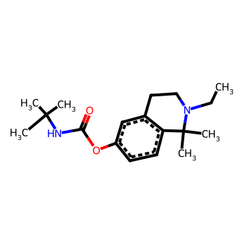 CCN1CCc2cc(OC(=O)NC(C)(C)C)ccc2C1(C)C